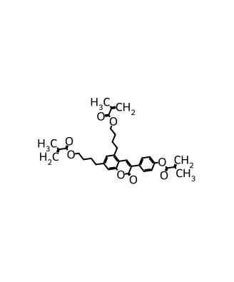 C=C(C)C(=O)OCCCCc1cc(CCCCOC(=O)C(=C)C)c2cc(-c3ccc(OC(=O)C(=C)C)cc3)c(=O)oc2c1